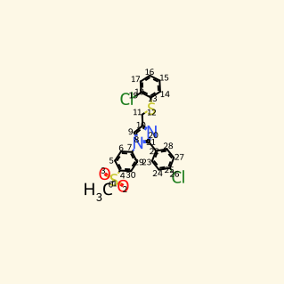 CS(=O)(=O)c1ccc(-n2cc(CSc3ccccc3Cl)nc2-c2ccc(Cl)cc2)cc1